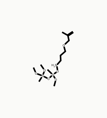 C=C(C)COCCC[SiH2]O[Si](C)(OC)O[Si](C)(OC)OC